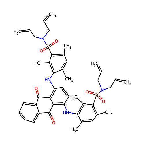 C=CCN(CC=C)S(=O)(=O)c1c(C)cc(C)c(Nc2ccc(Nc3c(C)cc(C)c(S(=O)(=O)N(CC=C)CC=C)c3C)c3c2C(=O)c2ccccc2C3=O)c1C